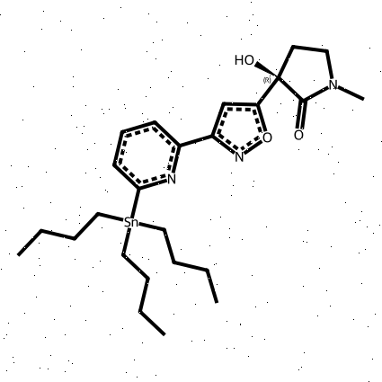 CCC[CH2][Sn]([CH2]CCC)([CH2]CCC)[c]1cccc(-c2cc([C@]3(O)CCN(C)C3=O)on2)n1